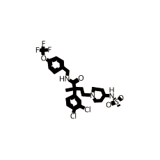 CC(CCN1CCC(NS(C)(=O)=O)CC1)(C(=O)NCc1ccc(OC(F)(F)F)cc1)c1ccc(Cl)c(Cl)c1